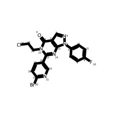 O=c1c2cnn(-c3ccc(F)cc3)c2nc(-c2ccc(Br)nc2)n1CCCl